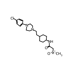 C[S@+]([O-])CC(=O)NC1CCC(CCN2CCN(c3ccc(Cl)cc3)CC2)CC1